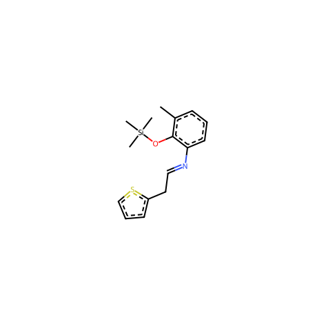 Cc1cccc(N=CCc2cccs2)c1O[Si](C)(C)C